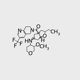 CCC1C[C@@]2(C(=O)N3CCc4ncc(C(F)(F)F)cc4C3)C[C@H](NC3CCOCC3OC)C[C@H]2O1